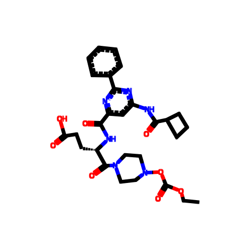 CCOC(=O)ON1CCN(C(=O)[C@H](CCC(=O)O)NC(=O)c2cc(NC(=O)C3CCC3)nc(-c3ccccc3)n2)CC1